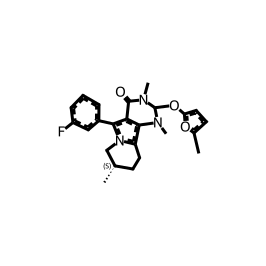 Cc1ccc(OC2N(C)C(=O)c3c(c4n(c3-c3cccc(F)c3)C[C@@H](C)CC4)N2C)o1